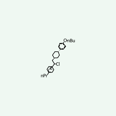 CCCCOc1ccc([C@H]2CC[C@H](CC(Cl)C34CCC(CCC)(CC3)CC4)CC2)cc1